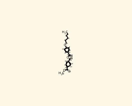 CCCCCCOc1ccc(-c2nnc(-c3ccc(C(=O)OC)cc3)o2)cc1